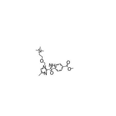 COC(=O)c1ccc(S(=N)(=O)c2nc(C)cn2COCC[Si](C)(C)C)cc1